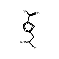 CC(C)C(C)Cc1cc(C(=N)N)cs1